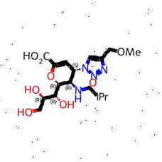 COCc1cn([C@H]2C=C(C(=O)O)O[C@@H]([C@H](O)[C@H](O)CO)[C@@H]2NC(=O)C(C)C)nn1